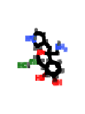 Cl.Cl.NCC1(CC2CCNC2)OC=Cc2c1ccc(O)c2O